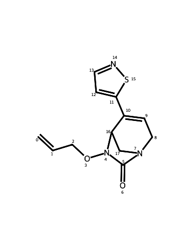 C=CCON1C(=O)N2CC=C(c3ccns3)C1C2